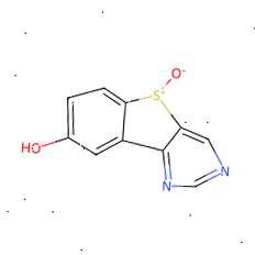 [O-][s+]1c2ccc(O)cc2c2ncncc21